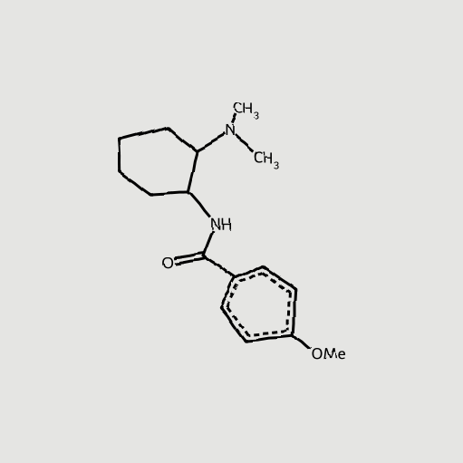 COc1ccc(C(=O)NC2CCCCC2N(C)C)cc1